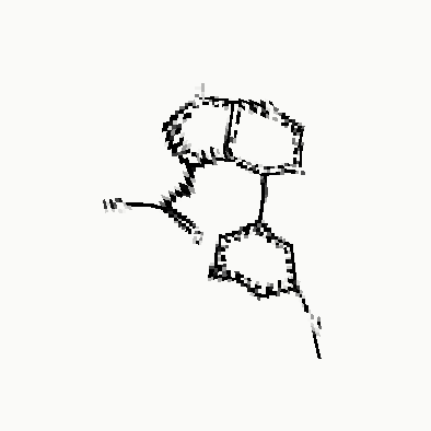 COc1cccc(-c2ncnc3[nH]cc(C(=O)O)c23)c1